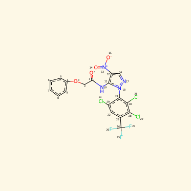 O=C(COc1ccccc1)Nc1c([N+](=O)[O-])cnn1-c1c(Cl)cc(C(F)(F)F)c(Cl)c1Cl